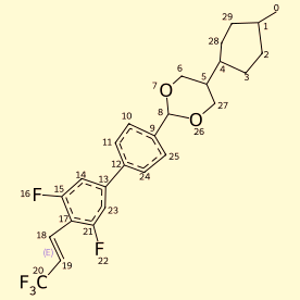 CC1CCC(C2COC(c3ccc(-c4cc(F)c(/C=C/C(F)(F)F)c(F)c4)cc3)OC2)CC1